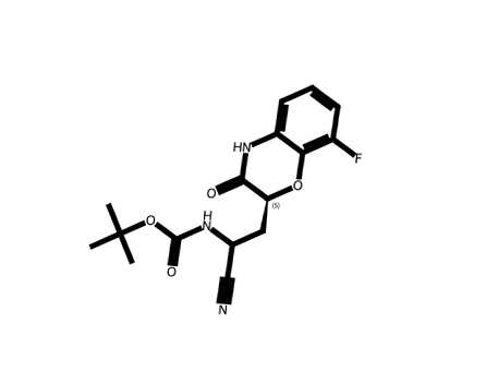 CC(C)(C)OC(=O)NC(C#N)C[C@@H]1Oc2c(F)cccc2NC1=O